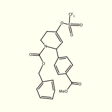 COC(=O)c1ccc(C2C=C(OS(=O)(=O)C(F)(F)F)CCN2C(=O)OCc2ccccc2)cc1